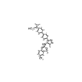 Cc1nnn(-c2ccc(-c3ccc(C4(C(=O)O)CC4)cc3)cc2)c1NC(=O)OC(C)c1cccc(C(F)(F)F)c1